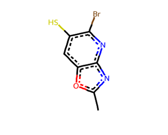 Cc1nc2nc(Br)c(S)cc2o1